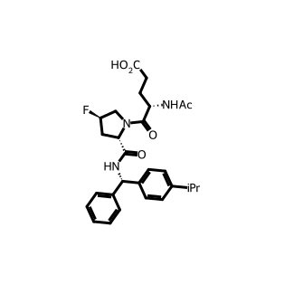 CC(=O)N[C@@H](CCC(=O)O)C(=O)N1C[C@H](F)C[C@H]1C(=O)N[C@@H](c1ccccc1)c1ccc(C(C)C)cc1